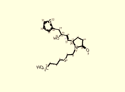 O=C(O)CCCSCCN1C(=O)CC[C@@H]1/C=C/[C@@H](O)Cc1cccs1